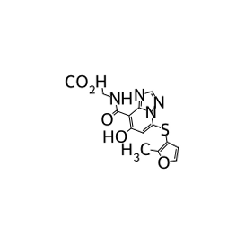 Cc1occc1Sc1cc(O)c(C(=O)NCC(=O)O)c2ncnn12